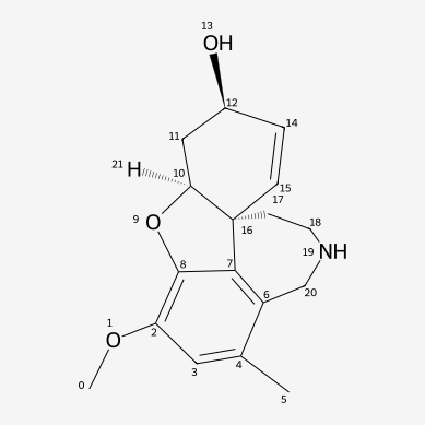 COc1cc(C)c2c3c1O[C@H]1C[C@@H](O)C=C[C@@]31CCNC2